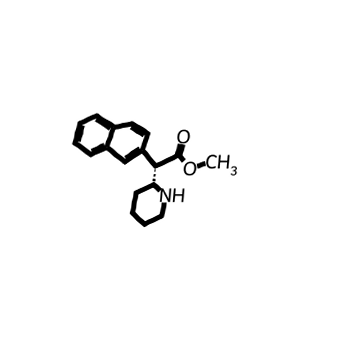 COC(=O)[C@@H](c1ccc2ccccc2c1)C1CCCCN1